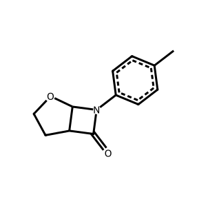 Cc1ccc(N2C(=O)C3CCOC32)cc1